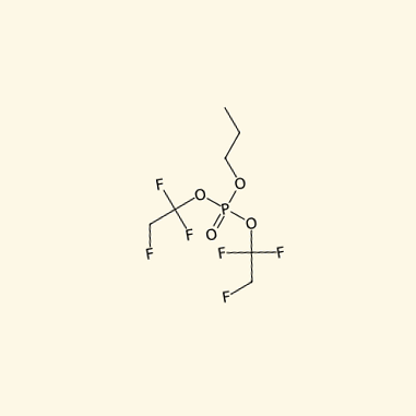 CCCOP(=O)(OC(F)(F)CF)OC(F)(F)CF